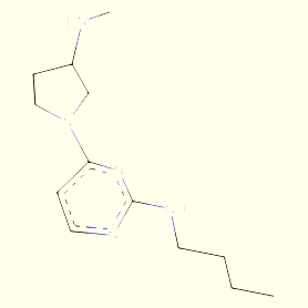 CCCCNc1nccc(N2CCC(NC)C2)n1